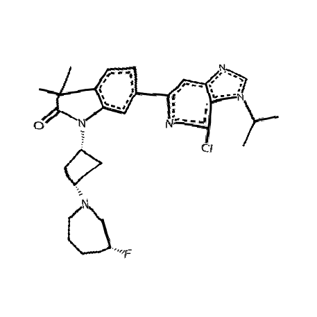 CC(C)n1cnc2cc(-c3ccc4c(c3)N([C@H]3C[C@@H](N5CCC[C@@H](F)C5)C3)C(=O)C4(C)C)nc(Cl)c21